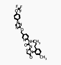 CCCc1ccc(C)cc1N1C(=O)CSC1=NC(=O)Nc1ccc(COc2ncn(-c3ccc(OC(F)(F)F)cc3)n2)cn1